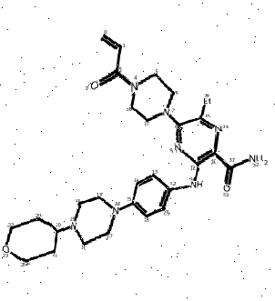 C=CC(=O)N1CCN(c2nc(Nc3ccc(N4CCN(C5CCOCC5)CC4)cc3)c(C(N)=O)nc2CC)CC1